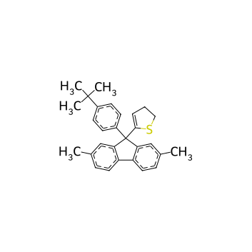 Cc1ccc2c(c1)C(C1=CCCS1)(c1ccc(C(C)(C)C)cc1)c1cc(C)ccc1-2